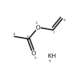 C=COC(C)=O.[KH]